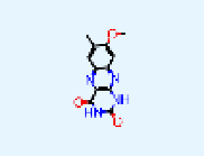 COc1cc2nc3[nH]c(=O)[nH]c(=O)c3nc2cc1C